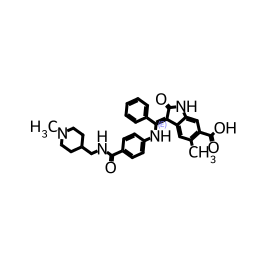 Cc1cc2c(cc1C(=O)O)NC(=O)/C2=C(/Nc1ccc(C(=O)NCC2CCN(C)CC2)cc1)c1ccccc1